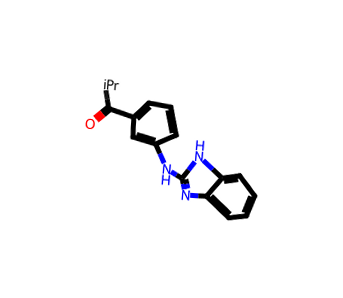 CC(C)C(=O)c1cccc(Nc2nc3ccccc3[nH]2)c1